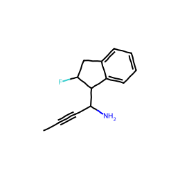 CC#CC(N)C1c2ccccc2CC1F